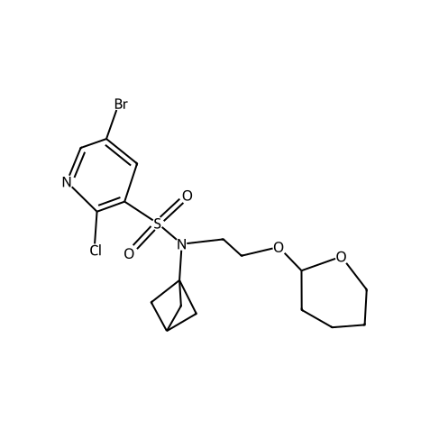 O=S(=O)(c1cc(Br)cnc1Cl)N(CCOC1CCCCO1)C12CC(C1)C2